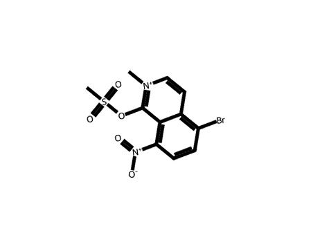 C[n+]1ccc2c(Br)ccc([N+](=O)[O-])c2c1OS(C)(=O)=O